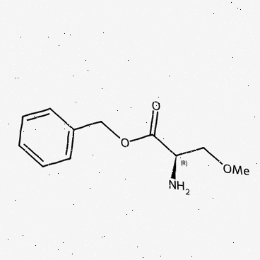 COC[C@@H](N)C(=O)OCc1ccccc1